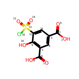 O=C(O)c1cc(C(=O)O)c(O)c(S(=O)(=O)Cl)c1